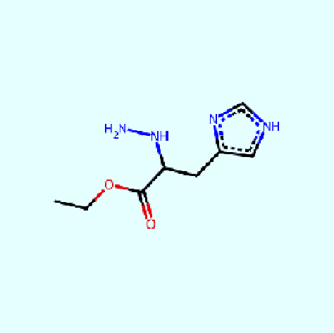 CCOC(=O)C(Cc1c[nH]cn1)NN